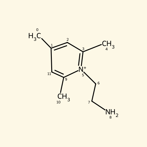 Cc1cc(C)[n+](CCN)c(C)c1